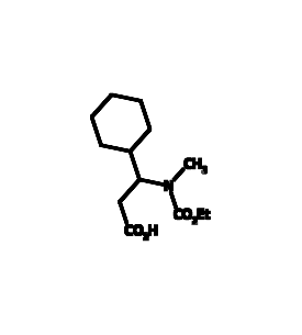 CCOC(=O)N(C)C(CC(=O)O)C1CCCCC1